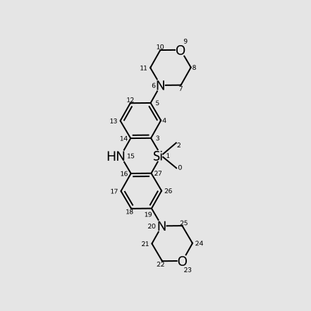 C[Si]1(C)c2cc(N3CCOCC3)ccc2Nc2ccc(N3CCOCC3)cc21